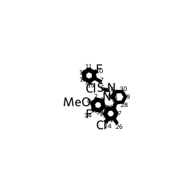 COc1cc(-n2c(SCc3c(F)cccc3Cl)nc3c2C(c2ccc(Cl)c(C)c2)CCC3)ccc1F